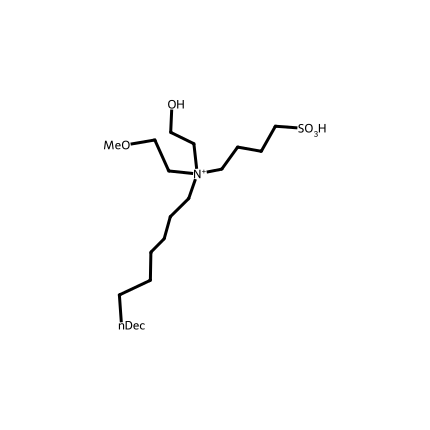 CCCCCCCCCCCCCCCC[N+](CCO)(CCCCS(=O)(=O)O)CCOC